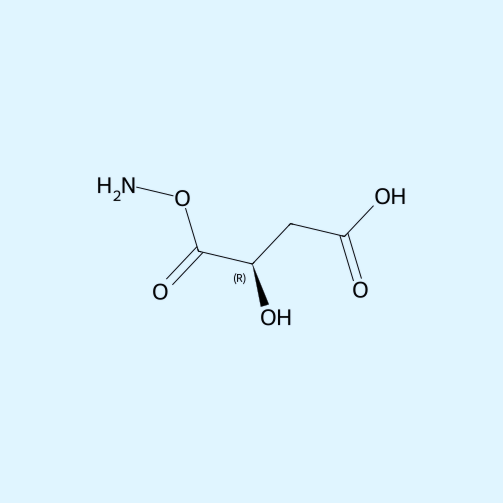 NOC(=O)[C@H](O)CC(=O)O